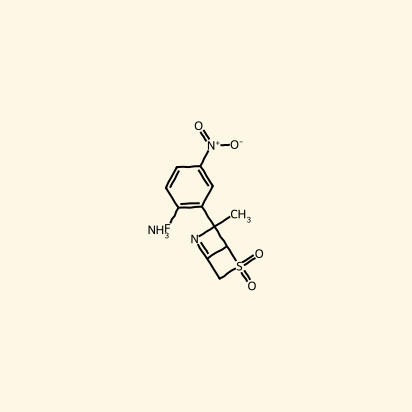 CC1(c2cc([N+](=O)[O-])ccc2F)N=C2CS(=O)(=O)C21.N